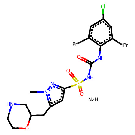 CC(C)c1cc(Cl)cc(C(C)C)c1NC(=O)NS(=O)(=O)c1cc(CC2CNCCO2)n(C)n1.[NaH]